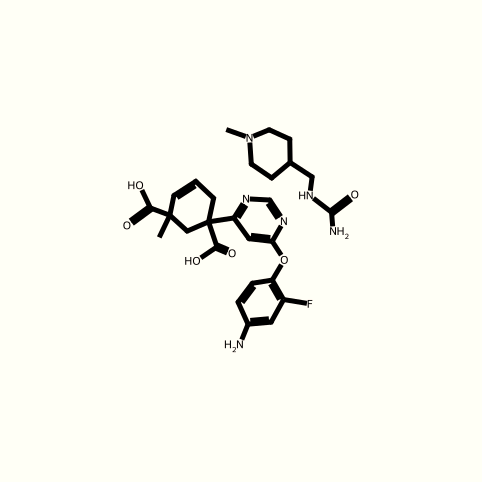 CC1(C(=O)O)C=CCC(C(=O)O)(c2cc(Oc3ccc(N)cc3F)ncn2)C1.CN1CCC(CNC(N)=O)CC1